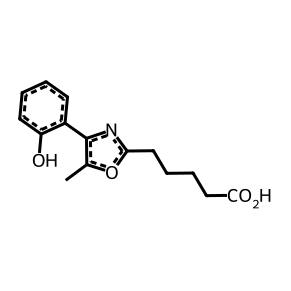 Cc1oc(CCCCC(=O)O)nc1-c1ccccc1O